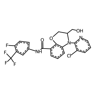 O=C(Nc1ccc(F)c(C(F)(F)F)c1)c1cccc2c1OCC(CO)N2c1ncccc1Cl